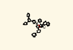 c1ccc(-c2cccc(-c3ccc(N(c4ccc(-c5cc(-c6ccccc6)cc(-c6ccccc6)c5)cc4)c4ccccc4-c4cccc5oc6c7ccccc7ccc6c45)cc3)c2)cc1